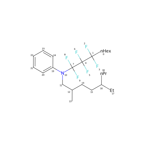 CCCCCCC(F)(F)C(F)(F)C(F)(F)N(CC(C)CCC(CC)CCC)c1ccccc1